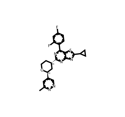 Cc1cc([C@@H]2C[C@@H](c3nc(-c4ccc(F)cc4F)c4sc(C5CC5)nc4n3)CCO2)cnn1